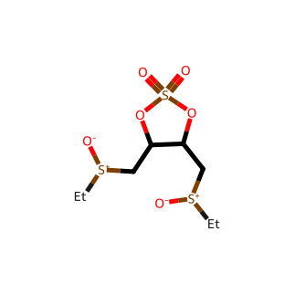 CC[S+]([O-])CC1OS(=O)(=O)OC1C[S+]([O-])CC